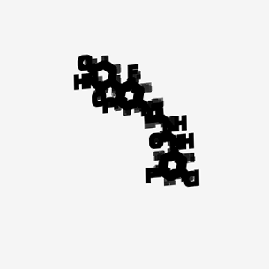 O=C1CCC(c2c(F)cc(N3CC(NC(=O)Nc4cc(F)cc(Cl)c4)C3)cc2F)C(=O)N1